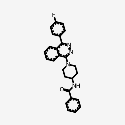 O=C(NC1CCN(c2nnc(-c3ccc(F)cc3)c3ccccc23)CC1)c1ccccc1